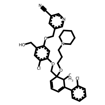 CC1C(c2ccccc2Cl)=CC=CC1(COc1cc(OCc2cncc(C#N)c2)c(CO)cc1Cl)OCCCN1CCCCC1